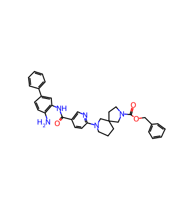 Nc1ccc(-c2ccccc2)cc1NC(=O)c1ccc(N2CCCC3(CCN(C(=O)OCc4ccccc4)C3)C2)nc1